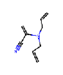 C=CCN(CC=C)C(=C)C#N